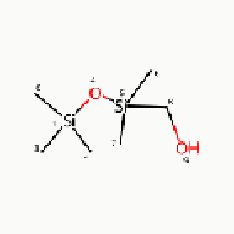 C[Si](C)(C)O[Si](C)(C)CO